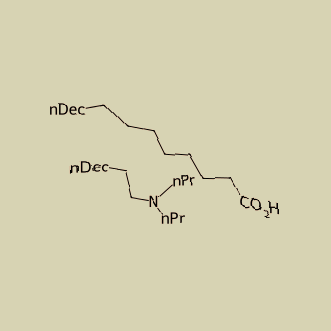 CCCCCCCCCCCCCCCCCC(=O)O.CCCCCCCCCCCCN(CCC)CCC